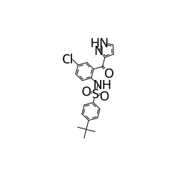 CC(C)(C)c1ccc(S(=O)(=O)Nc2ccc(Cl)cc2C(=O)c2cc[nH]n2)cc1